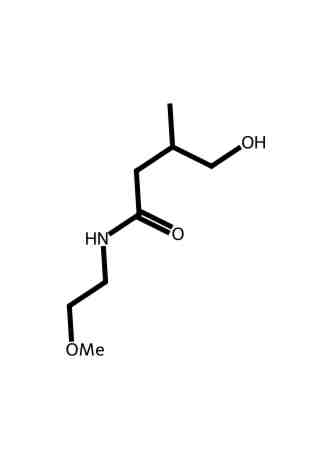 COCCNC(=O)CC(C)CO